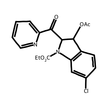 CCOC(=O)N1c2cc(Cl)ccc2C(OC(C)=O)C1C(=O)c1ccccn1